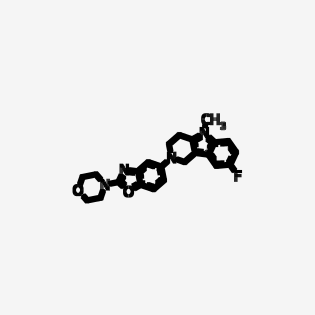 Cn1c2c(c3cc(F)ccc31)CN(c1ccc3oc(N4CCOCC4)nc3c1)CC2